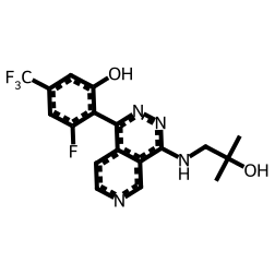 CC(C)(O)CNc1nnc(-c2c(O)cc(C(F)(F)F)cc2F)c2ccncc12